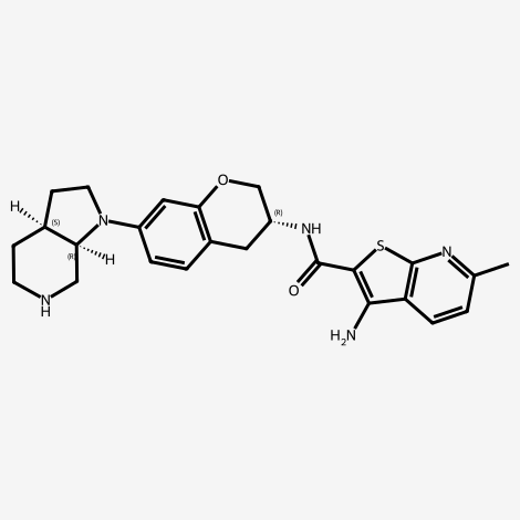 Cc1ccc2c(N)c(C(=O)N[C@H]3COc4cc(N5CC[C@@H]6CCNC[C@@H]65)ccc4C3)sc2n1